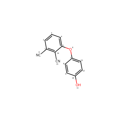 N#Cc1cccc(Oc2ccc(O)cc2)c1C#N